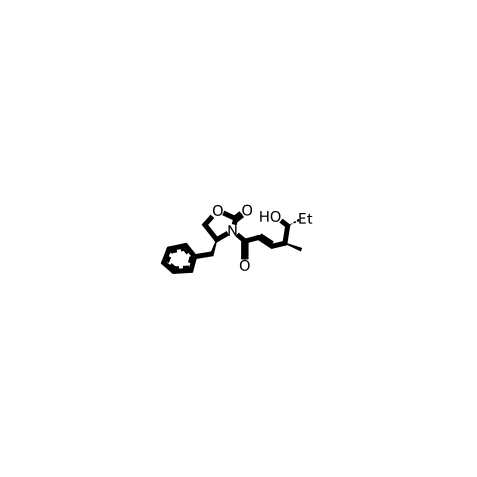 CC[C@@H](O)[C@@H](C)/C=C/C(=O)N1C(=O)OC[C@@H]1Cc1ccccc1